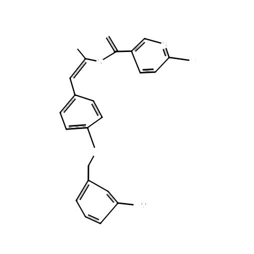 COc1cccc(COc2ccc(/C=C(\NC(=O)c3ccc(Cl)nc3)C(=O)O)cc2)c1